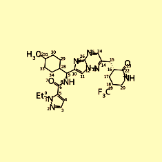 CCn1nccc1C(=O)N[C@H](c1cn2nc(C[C@H]3C[C@@H](C(F)(F)F)CNC3=O)cnc2n1)C1CCC(C)CC1